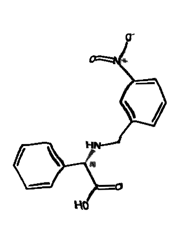 O=C(O)[C@@H](NCc1cccc([N+](=O)[O-])c1)c1ccccc1